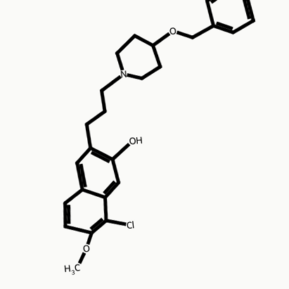 COc1ccc2cc(CCCN3CCC(OCc4ccccc4)CC3)c(O)cc2c1Cl